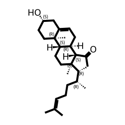 CC(C)=CCC[C@@H](C)[C@H]1CC(=O)[C@H]2[C@@H]3CC=C4C[C@@H](O)CC[C@]4(C)[C@H]3CC[C@]12C